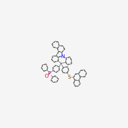 O=P(c1ccccc1)(c1ccccc1)c1ccc(C2(c3ccc(Sc4cc5ccccc5c5ccccc45)cc3)c3ccccc3-n3c4ccc5ccccc5c4c4cccc2c43)cc1